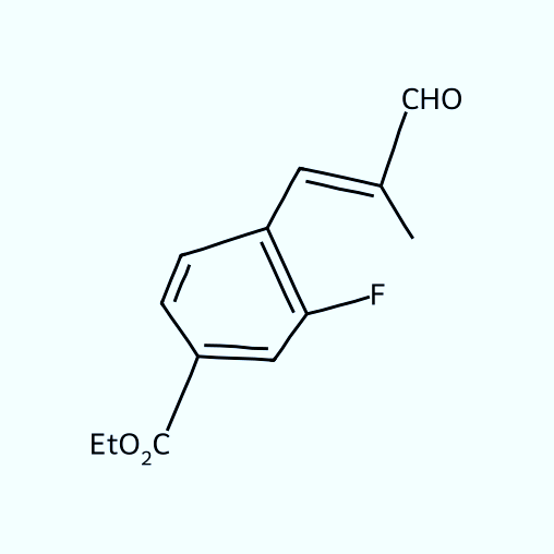 CCOC(=O)c1ccc(/C=C(\C)C=O)c(F)c1